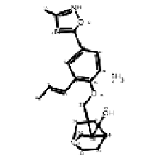 B.CC=Cc1cc(-c2nc(C)no2)ccc1OCC1(O)CN2CCC1CC2